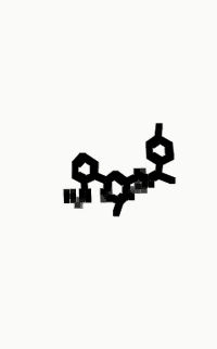 CC(=NNc1cc(-c2ccccc2N)nc(C)n1)c1ccc(C)cc1